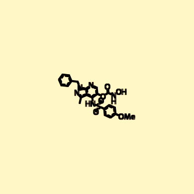 COc1ccc(S(=O)(=O)Nc2c(OC(=O)NO)cnc3c2c(C)nn3Cc2ccccc2)cc1